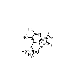 CC1(C)Cc2c(C#N)c(O)nc(C3(C)CC3)c2CO1